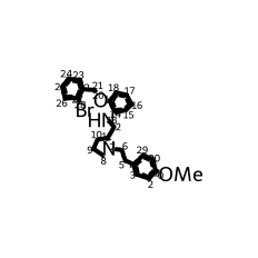 COc1ccc(CCN2CCCC2CNc2ccccc2OCc2ccccc2Br)cc1